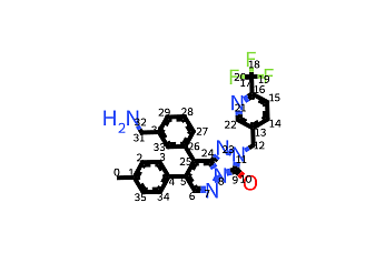 Cc1ccc(-c2cnn3c(=O)n(Cc4ccc(C(F)(F)F)nc4)nc3c2-c2cccc(CN)c2)cc1